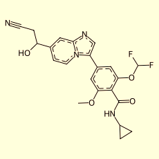 COc1cc(-c2cnc3cc(C(O)CC#N)ccn23)cc(OC(F)F)c1C(=O)NC1CC1